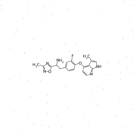 Cc1noc(C(N)Cc2ccc(Oc3ccnc4[nH]cc(C)c34)c(F)c2)n1